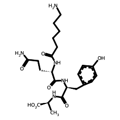 C[C@H](NC(=O)[C@H](Cc1ccc(O)cc1)NC(=O)[C@H](CCC(N)=O)NC(=O)CCCCCN)C(=O)O